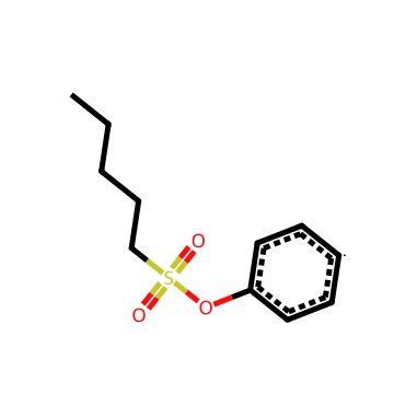 CCCCCS(=O)(=O)Oc1cc[c]cc1